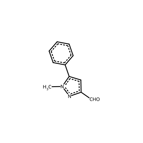 Cn1nc(C=O)cc1-c1ccccc1